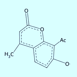 CC(=O)c1c([O])ccc2c(C)cc(=O)oc12